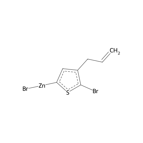 C=CCc1c[c]([Zn][Br])sc1Br